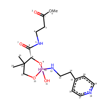 COC(=O)CCNC(=O)[C@@H]1O[PH](O)(NCCc2ccncc2)OCC1(C)C